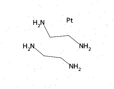 NCCN.NCCN.[Pt]